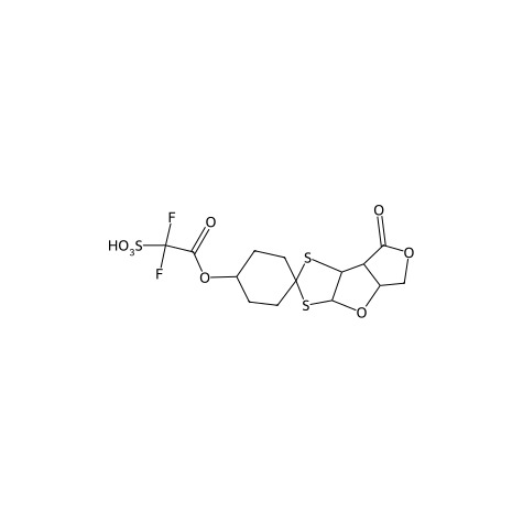 O=C1OCC2OC3SC4(CCC(OC(=O)C(F)(F)S(=O)(=O)O)CC4)SC3C12